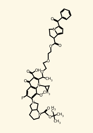 COc1c(N2CC3CCCN(C(=O)OC(C)(C)C)C3C2)c(F)cc2c(=O)c(C(=O)O)c(C(C)OCCOCCOC(=O)C3CCn4c(C(=O)c5ccccc5)ccc43)n(C3CC3)c12